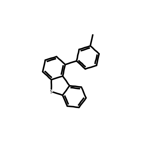 Cc1cccc(-c2cccc3sc4ccccc4c23)c1